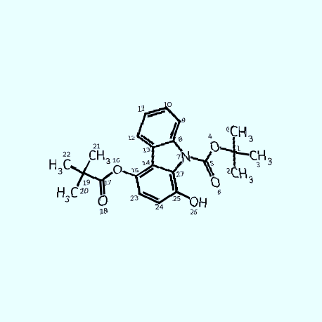 CC(C)(C)OC(=O)n1c2ccccc2c2c(OC(=O)C(C)(C)C)ccc(O)c21